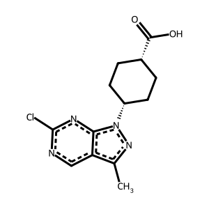 Cc1nn([C@H]2CC[C@@H](C(=O)O)CC2)c2nc(Cl)ncc12